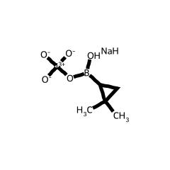 CC1(C)CC1B(O)O[I+3]([O-])([O-])[O-].[NaH]